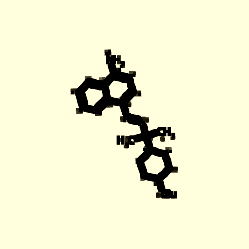 CC(C)(C)C1CCC(C(C)(C)N=Nc2ccc(N)c3ccccc23)CC1